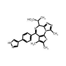 Cc1sc2c(c1C)C(c1ccc(-c3cn[nH]c3)cc1)=NC([C@H](C)C(=O)O)c1nnc(C)n1-2